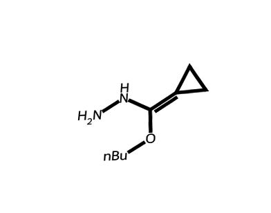 CCCCOC(NN)=C1CC1